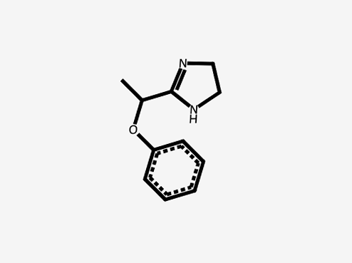 CC(Oc1ccccc1)C1=NCCN1